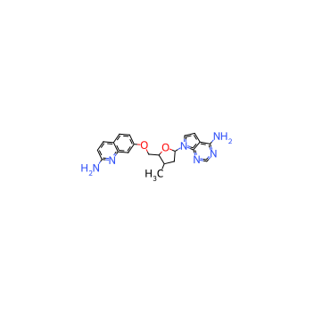 CC1CC(n2ccc3c(N)ncnc32)OC1COc1ccc2ccc(N)nc2c1